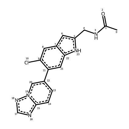 CC(=O)NCc1cc2cc(Cl)c(-c3ccc4ncnn4c3)cc2[nH]1